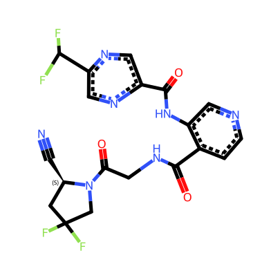 N#C[C@@H]1CC(F)(F)CN1C(=O)CNC(=O)c1ccncc1NC(=O)c1cnc(C(F)F)cn1